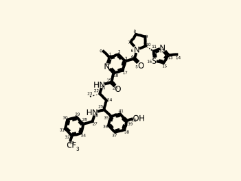 Cc1cc(C(=O)N2CCC[C@@H]2c2nc(C)cs2)cc(C(=O)N[C@@H](C)CC(NCc2cccc(C(F)(F)F)c2)c2cccc(O)c2)n1